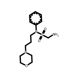 NCS(=O)(=O)N(CCCN1CCOCC1)c1ccccc1